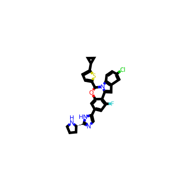 Fc1cc(-c2cnc([C@@H]3CCCN3)[nH]2)cc2c1-c1cc3cc(Cl)ccc3n1C(c1ccc(C3CC3)s1)O2